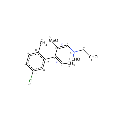 C/C=C(\C(=C/N(C=O)CC=O)OC)c1cc(Cl)ccc1C